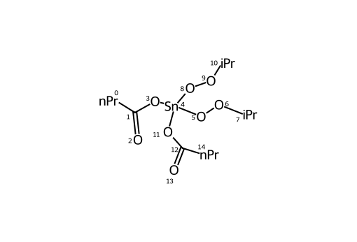 CCCC(=O)[O][Sn]([O]OC(C)C)([O]OC(C)C)[O]C(=O)CCC